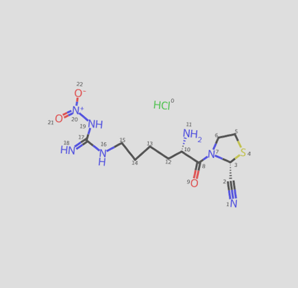 Cl.N#C[C@H]1SCCN1C(=O)[C@@H](N)CCCCNC(=N)N[N+](=O)[O-]